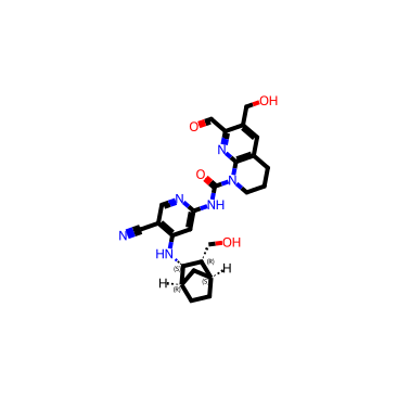 N#Cc1cnc(NC(=O)N2CCCc3cc(CO)c(C=O)nc32)cc1N[C@H]1[C@@H]2CC[C@@H](C2)[C@H]1CO